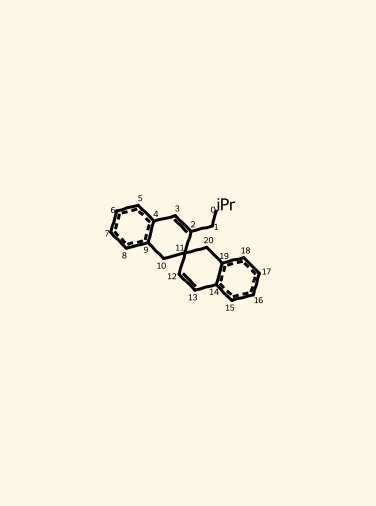 CC(C)CC1=Cc2ccccc2CC12C=Cc1ccccc1C2